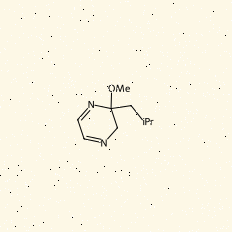 COC1(CC(C)C)CN=CC=N1